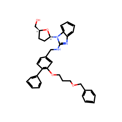 OC[C@@H]1CC[C@H](n2c(NCc3ccc(-c4ccccc4)c(OCCCOCc4ccccc4)c3)nc3ccccc32)O1